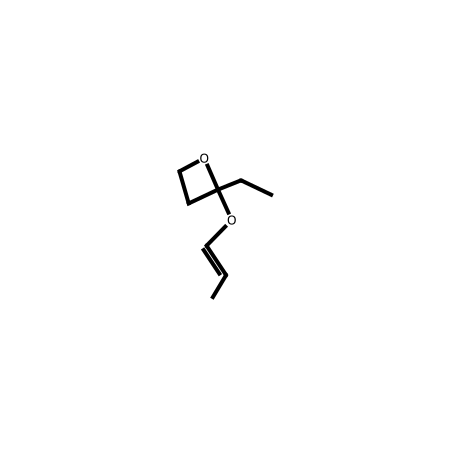 CC=COC1(CC)CCO1